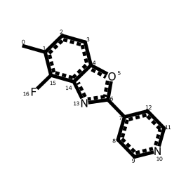 Cc1ccc2oc(-c3ccncc3)nc2c1F